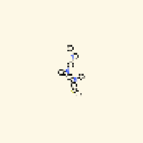 C1=Cc2sc3cc4c5cc6c7ccccc7n(-c7ccc(-c8cccc(-c9ccccc9)n8)cc7)c6cc5n(-c5ccccc5)c4cc3c2CC1